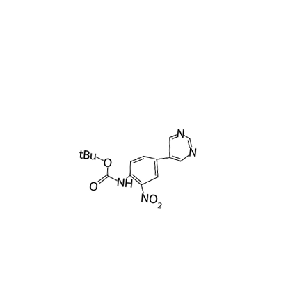 CC(C)(C)OC(=O)Nc1ccc(-c2cncnc2)cc1[N+](=O)[O-]